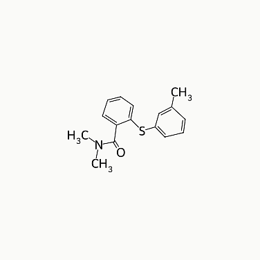 Cc1cccc(Sc2ccccc2C(=O)N(C)C)c1